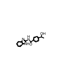 CC(O)c1ccc(C(=O)Nc2nc3ccccc3[nH]2)cc1